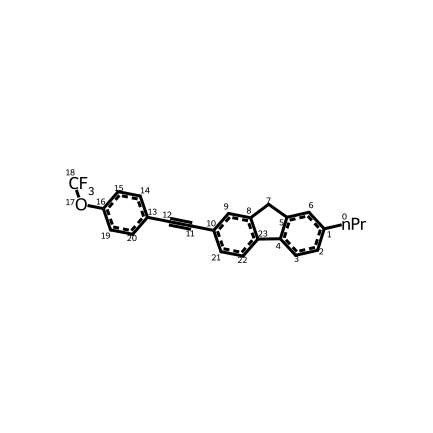 CCCc1ccc2c(c1)Cc1cc(C#Cc3ccc(OC(F)(F)F)cc3)ccc1-2